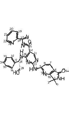 CC1(C)NC(=O)c2ccc(Nc3ncc(-c4nc(-c5ccccn5)no4)c(N[C@H](CO)c4ccccc4)n3)nc21